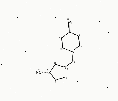 CC(C)[C@H]1CC[C@H](CN2CC[C@H](C#N)C2)CC1